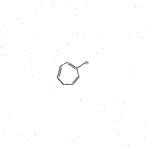 CC(C)C1=CC=CCC=C1